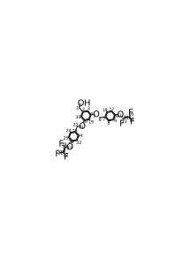 OCc1cc(OCc2ccc(OC(F)=C(F)F)cc2)cc(OCc2ccc(OC(F)=C(F)F)cc2)c1